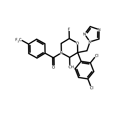 CC1N(C(=O)c2ccc(C(F)(F)F)cc2)CC(F)OC1(Cn1cncn1)c1ccc(Cl)cc1Cl